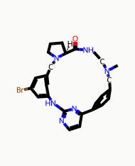 CN1CCNC(=O)[C@@H]2CCCN2Cc2cc(Br)cc(c2)Nc2nccc(n2)-c2ccc(cc2)C1